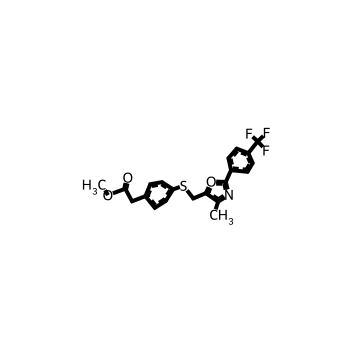 COC(=O)Cc1ccc(SCc2oc(-c3ccc(C(F)(F)F)cc3)nc2C)cc1